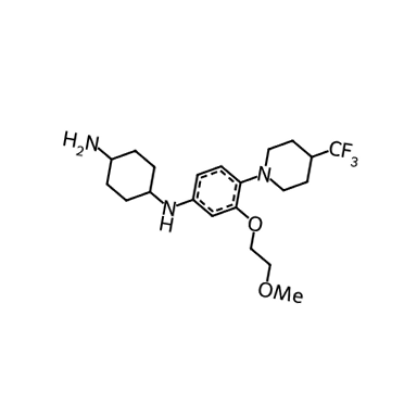 COCCOc1cc(NC2CCC(N)CC2)ccc1N1CCC(C(F)(F)F)CC1